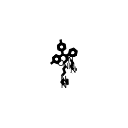 Cc1ccc(C(c2ccc(C)cc2)c2c(C(=O)NCCCn3ccnc3)n(CCN(C)C)c3ccccc23)cc1